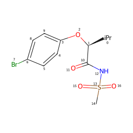 CC(C)[C@H](Oc1ccc(Br)cc1)C(=O)NS(C)(=O)=O